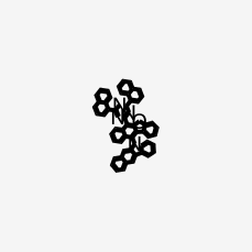 c1ccc2cc3c(cc2c1)c1ccccc1n3-c1c2ccccc2c(-c2nc(-c3cccc4ccccc34)nc(-c3cccc4ccccc34)n2)c2oc3ccccc3c12